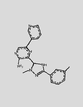 Cc1cccc(C2=NN(C)C(c3nc(-c4cccnc4)cnc3N)N2)c1